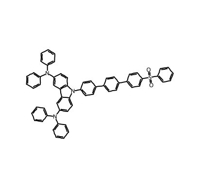 O=S(=O)(c1ccccc1)c1ccc(-c2ccc(-c3ccc(-n4c5ccc(N(c6ccccc6)c6ccccc6)cc5c5cc(N(c6ccccc6)c6ccccc6)ccc54)cc3)cc2)cc1